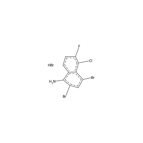 Br.Nc1c(Br)cc(Br)c2c(Cl)c(F)ccc12